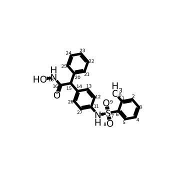 Cc1ccccc1S(=O)(=O)Nc1ccc(C(C(=O)NO)c2ccccc2)cc1